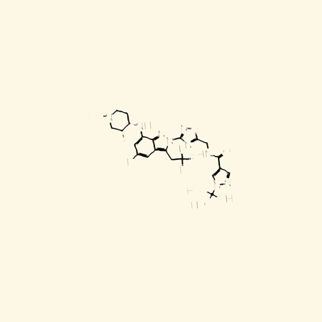 CN1CC[C@@H](Nc2cc(F)cc3c(CC(F)(F)F)n(-c4noc(CNC(=O)c5cnn(C(C)(C)C)c5)n4)nc23)[C@@H](F)C1